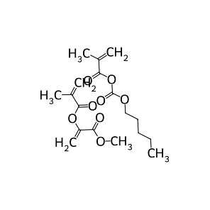 C=C(C)C(=O)OC(=C)C(=O)OC.C=C(C)C(=O)OC(=O)OCCCCC